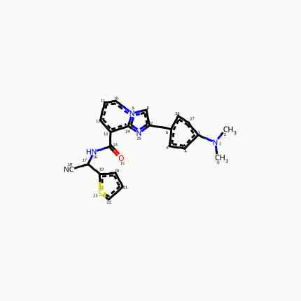 CN(C)c1ccc(-c2cn3cccc(C(=O)NC(C#N)c4cccs4)c3n2)cc1